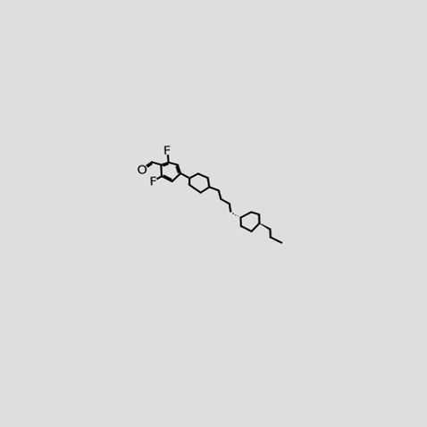 CCC[C@H]1CC[C@H](CCCCC2CCC(c3cc(F)c(C=O)c(F)c3)CC2)CC1